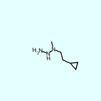 CN(CCC1CC1)NN